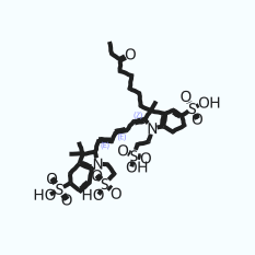 CCC(=O)CCCCCC1(C)C2=C(CCC(S(=O)(=O)O)=C2)N(CCS(=O)(=O)O)\C1=C/C=C/C=C/C1N(CCS(=O)(=O)O)C2=C(CC(S(=O)(=O)O)C=C2)C1(C)C